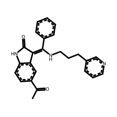 CC(=O)c1ccc2c(c1)C(=C(NCCCc1cccnc1)c1ccccc1)C(=O)N2